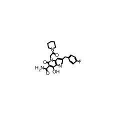 NC(=O)c1c(O)c2ncc(Cc3ccc(F)cc3)cc2n(CC(=O)N2CCCCC2)c1=O